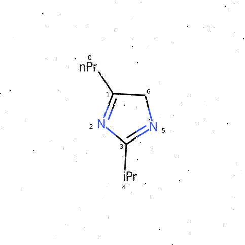 CCCC1=NC(C(C)C)=NC1